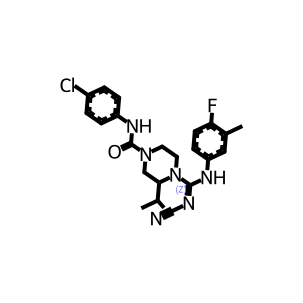 Cc1cc(N/C(=N/C#N)N2CCN(C(=O)Nc3ccc(Cl)cc3)CC2C(C)C)ccc1F